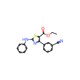 CCOC(=O)c1sc(Nc2ccccc2)nc1-c1cccc(C#N)c1